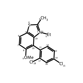 CC[n+]1c(C)sc2ccc(OC)c(-c3ccc(Cl)cc3Cl)c21